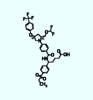 CCS(=O)(=O)c1ccc(C(CCCC(=O)O)NC(=O)c2ccc(N3C[C@@H](Oc4ccc(C(F)(F)F)cc4)C[C@H]3COC(F)F)cc2)cc1